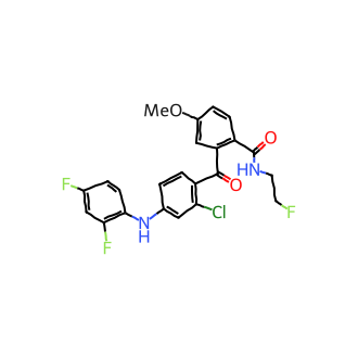 COc1ccc(C(=O)NCCF)c(C(=O)c2ccc(Nc3ccc(F)cc3F)cc2Cl)c1